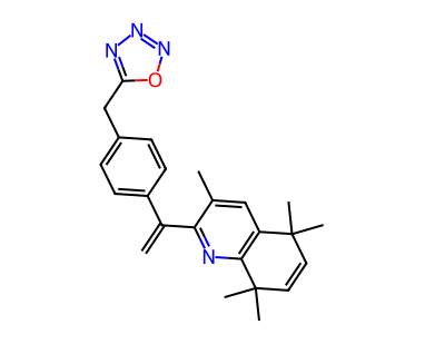 C=C(c1ccc(Cc2nnno2)cc1)c1nc2c(cc1C)C(C)(C)C=CC2(C)C